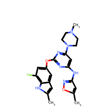 Cc1cc2cc(Oc3nc(Nc4cc(C)on4)cc(N4CCN(C)CC4)n3)cc(F)c2[nH]1